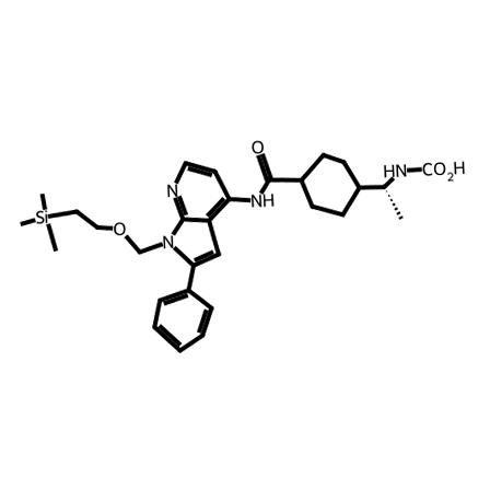 C[C@@H](NC(=O)O)C1CCC(C(=O)Nc2ccnc3c2cc(-c2ccccc2)n3COCC[Si](C)(C)C)CC1